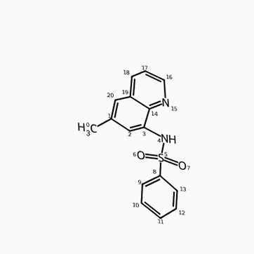 Cc1cc(NS(=O)(=O)c2ccccc2)c2ncccc2c1